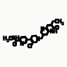 CCc1cc2ncc(CN3CCC(c4ccc(C(=O)NC)nc4)=C(Cl)C3)cc2[nH]c1=O